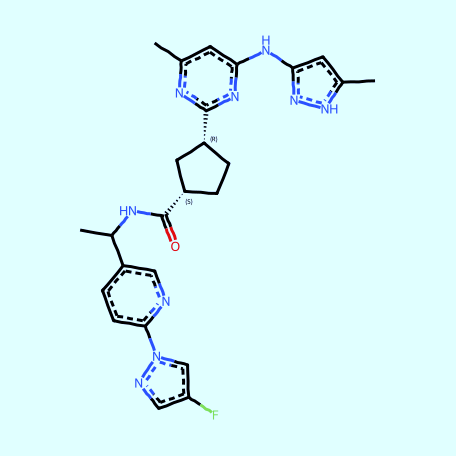 Cc1cc(Nc2cc(C)[nH]n2)nc([C@@H]2CC[C@H](C(=O)NC(C)c3ccc(-n4cc(F)cn4)nc3)C2)n1